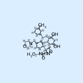 CCNC(=O)c1noc(-c2cc(CCc3cccc(C)c3)c(O)cc2O)c1-c1ccc(CN2CCOCC2)cc1